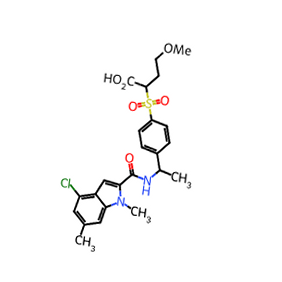 COCCC(C(=O)O)S(=O)(=O)c1ccc(C(C)NC(=O)c2cc3c(Cl)cc(C)cc3n2C)cc1